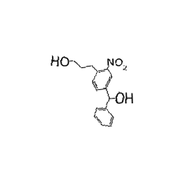 O=[N+]([O-])c1cc(C(O)c2ccccc2)ccc1CCCO